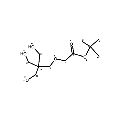 CC(C)(C)OC(=O)COCC(CO)(CO)CO